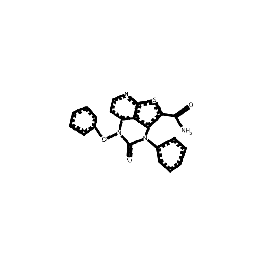 NC(=O)c1sc2nccc3c2c1N(c1ccccc1)C(=O)N3Oc1ccccc1